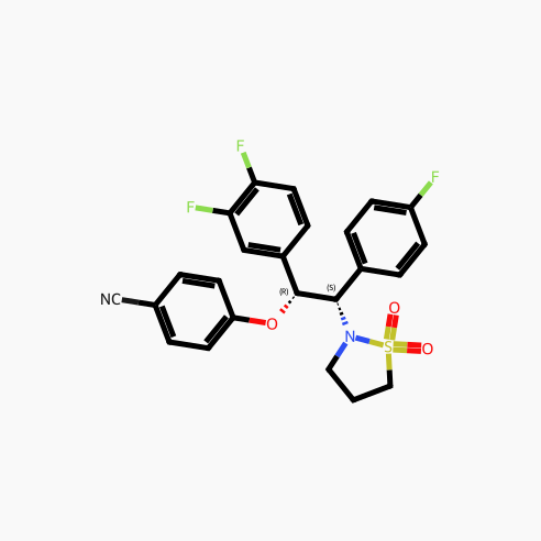 N#Cc1ccc(O[C@H](c2ccc(F)c(F)c2)[C@H](c2ccc(F)cc2)N2CCCS2(=O)=O)cc1